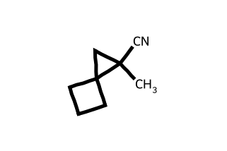 CC1(C#N)CC12CCC2